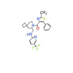 Cc1nc(C(=O)N2CCC3(CCC3)CC2CNc2ccc(C(F)(F)F)cn2)c(-c2ccccc2)s1